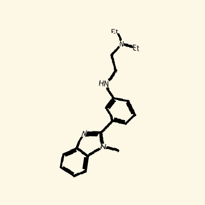 CCN(CC)CCNc1cccc(-c2nc3ccccc3n2C)c1